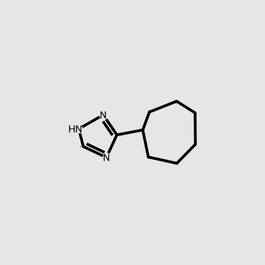 [c]1nc(C2CCCCCC2)n[nH]1